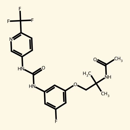 CC(=O)NC(C)(C)COc1cc(F)cc(NC(=O)Nc2ccc(C(F)(F)F)nc2)c1